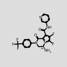 N[C@H]1CN(c2ccc(C(F)(F)F)cc2)C(=O)c2c(C(=O)Nc3cccnc3)c(F)c(F)n21